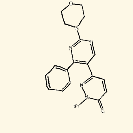 CC(C)n1nc(-c2cnc(N3CCOCC3)nc2-c2ccccc2)ccc1=O